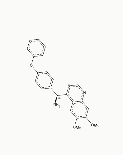 COc1cc2ncnc([C@@H](N)c3ccc(Oc4ccccc4)cc3)c2cc1OC